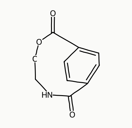 O=C1NCCOC(=O)c2ccc1cc2